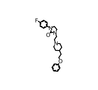 O=C1N(CCN2CCC(CCOc3ccccc3)CC2)CCN1c1ccc(F)cc1